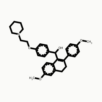 COc1ccc(C2=C(C(O)c3ccc(OCCN4CCCCC4)cc3)c3ccc(OC)cc3CC2)cc1